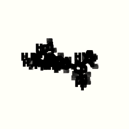 BC1(B)NC(=O)N([C@H](COC)c2cnn3cc([C@H](CCC(C)(C)C(F)(F)F)NC(=O)c4nonc4C)nc3c2)C(B)(B)C1(F)F